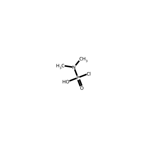 CN(C)P(=O)(O)Cl